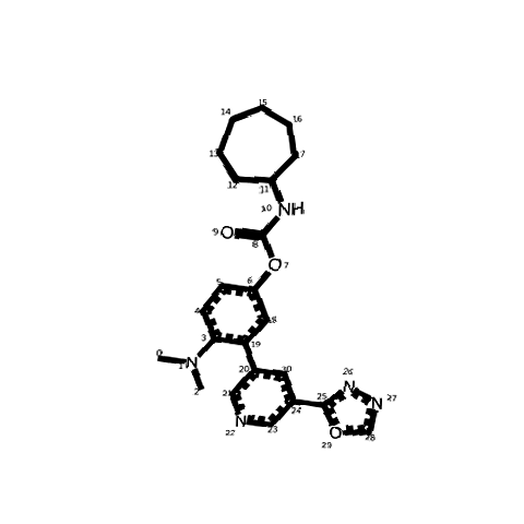 CN(C)c1ccc(OC(=O)NC2CCCCCC2)cc1-c1cncc(-c2nnco2)c1